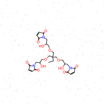 CCC(COCC(O)CN1C(=O)C=CC1=O)(COCC(O)CN1C(=O)C=CC1=O)COCC(O)CN1C(=O)C=CC1=O